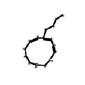 CCCCC1=CC=CCCCCCCC=C1